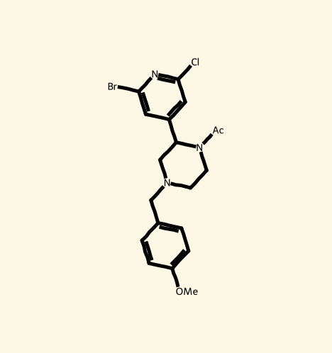 COc1ccc(CN2CCN(C(C)=O)C(c3cc(Cl)nc(Br)c3)C2)cc1